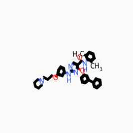 Cc1cccc(C)c1NC(=O)c1cnc(Nc2cccc(OCCCN3CCCCC3)c2)nc1Oc1cccc(-c2ccccc2)c1